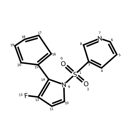 O=S(=O)(c1cccnc1)n1c[c]c(F)c1-c1ccccc1